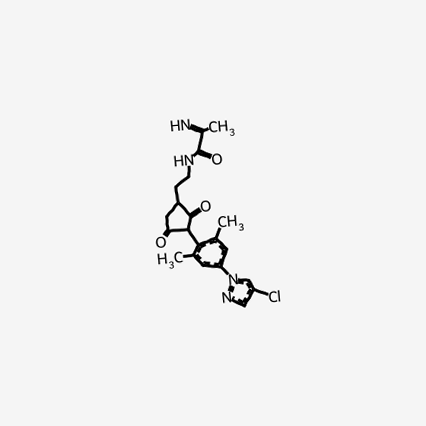 CC(=N)C(=O)NCCC1CC(=O)C(c2c(C)cc(-n3cc(Cl)cn3)cc2C)C1=O